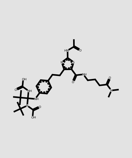 CC(=O)Nc1nc(CCc2ccc(NC(NC(=O)O)(N(C(=O)O)C(C)(C)C)C(C)(C)C)cc2)c(C(=O)NCCCC(=O)N(C)C)s1